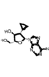 Nc1ncnc2c1ncn2[C@@H]1O[C@H](CO)[C@@H](O)[C@@H]1C1CC1